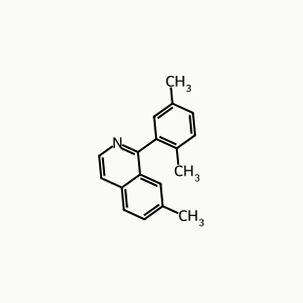 Cc1ccc(C)c(-c2nccc3ccc(C)cc23)c1